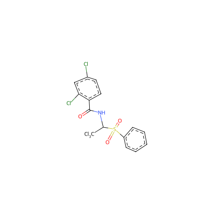 O=C(NC(C(Cl)(Cl)Cl)S(=O)(=O)c1ccccc1)c1ccc(Cl)cc1Cl